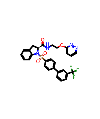 O=C(NCCOc1cccnn1)[C@@H]1Cc2ccccc2N1S(=O)(=O)c1ccc(-c2cccc(C(F)(F)F)c2)cc1